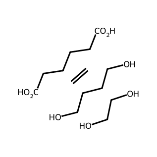 C=C.O=C(O)CCCCC(=O)O.OCCCCO.OCCO